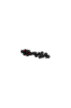 c1ccc([Si](c2ccccc2)(c2cccc(-c3cccc4c3sc3ccccc34)c2)c2cccc(-c3cccc4c3sc3ccc(-c5ccc6sc7c([Si](c8ccccc8)(c8ccccc8)c8cccc9c8sc8ccccc89)cccc7c6c5)cc34)c2)cc1